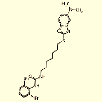 CC(C)c1cccc(C(C)C)c1NC(=O)NCCCCCCCSc1nc2cc(N(C)C)ccc2o1